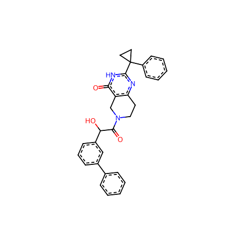 O=C(C(O)c1cccc(-c2ccccc2)c1)N1CCc2nc(C3(c4ccccc4)CC3)[nH]c(=O)c2C1